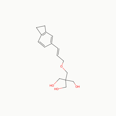 OCC(CO)(CO)COC/C=C/c1ccc2c(c1)CC2